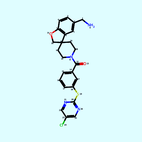 NCc1ccc2c(c1)C1(CCN(C(=O)c3cccc(Sc4ncc(Cl)cn4)c3)CC1)CO2